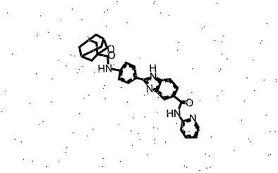 O=C(Nc1ccccn1)c1ccc2[nH]c(-c3ccc(NC(=O)C45CC6CC(CC(C6)C4=O)C5)cc3)nc2c1